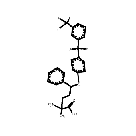 CC(N)(CCC(Oc1ccc(C(F)(F)c2cccc(C(F)(F)F)c2)cc1)c1ccccc1)C(=O)O